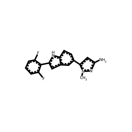 Cn1nc(N)cc1-c1ccc2[nH]c(-c3c(F)cccc3F)cc2c1